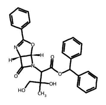 CC(O)(CO)C(C(=O)OC(c1ccccc1)c1ccccc1)N1C(=O)[C@@H]2N=C(c3ccccc3)O[C@@H]21